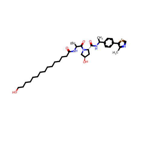 Cc1ncsc1-c1ccc(C(C)NC(=O)[C@@H]2C[C@@H](O)CN2C(=O)C(NC(=O)CCCCCCCCCCCCCCO)C(C)(C)C)cc1